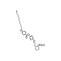 C=CCCCCCCCCCCOc1ccc(C(=O)Oc2ccc(OCCCC3CCCCC3CCCCC)cc2)cc1